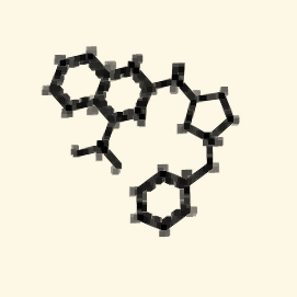 CN(C)c1nc(NC2CCN(Cc3ccccc3)C2)nc2ccccc12